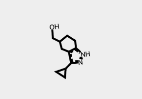 OCC1CCc2[nH]nc(C3CC3)c2C1